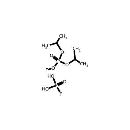 CC(C)OP(=O)(OF)OC(C)C.O=P(O)(O)F